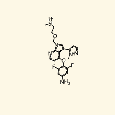 Cn1nccc1-c1cn(COCC[SiH](C)C)c2nccc(Oc3c(F)cc(N)cc3F)c12